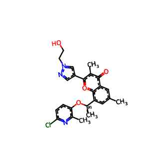 Cc1cc([C@@H](C)Oc2ccc(Cl)nc2C)c2oc(-c3cnn(CCO)c3)c(C)c(=O)c2c1